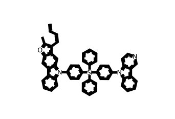 C=C/C=C\c1c(C)oc2cc3c4ccccc4n(-c4ccc([Si](c5ccccc5)(c5ccccc5)c5ccc(-n6c7ccccc7c7cnccc76)cc5)cc4)c3cc12